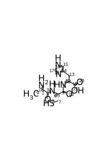 C[C@H](N)C(=O)N[C@@H](CS)C(=O)N[C@@H](Cc1c[nH]cn1)C(=O)O